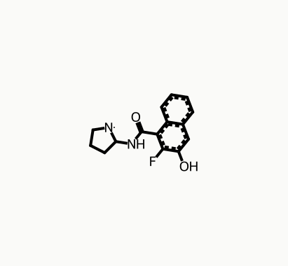 O=C(NC1CCC[N]1)c1c(F)c(O)cc2ccccc12